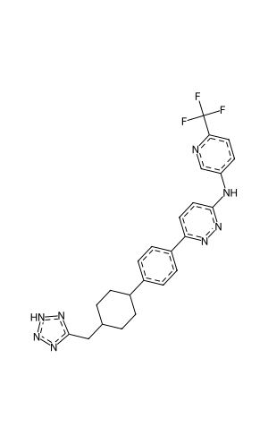 FC(F)(F)c1ccc(Nc2ccc(-c3ccc(C4CCC(Cc5nn[nH]n5)CC4)cc3)nn2)cn1